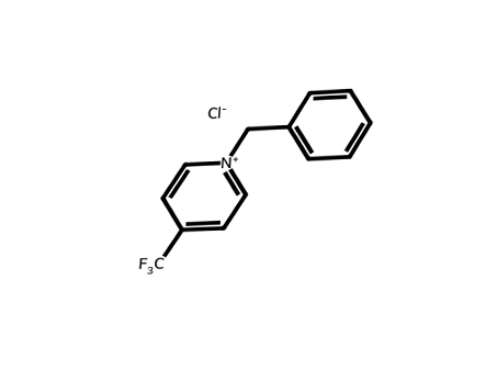 FC(F)(F)c1cc[n+](Cc2ccccc2)cc1.[Cl-]